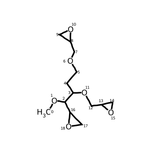 COC(C(CCOCC1CO1)OCC1CO1)C1CO1